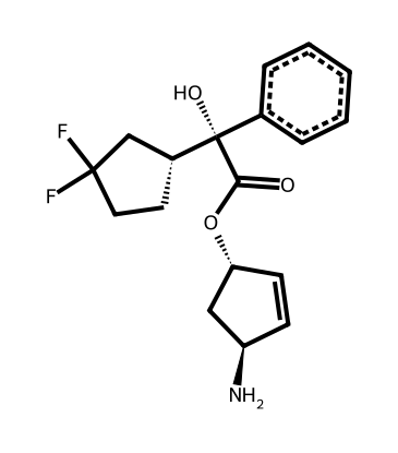 N[C@@H]1C=C[C@@H](OC(=O)[C@](O)(c2ccccc2)[C@@H]2CCC(F)(F)C2)C1